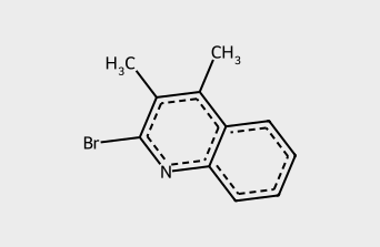 Cc1c(Br)nc2ccccc2c1C